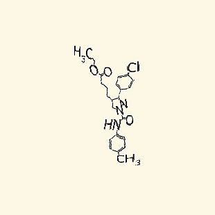 CCOC(=O)CCCC1CN(C(=O)Nc2ccc(C)cc2)N=C1c1ccc(Cl)cc1